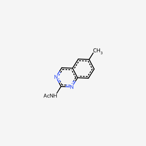 CC(=O)Nc1ncc2cc(C)ccc2n1